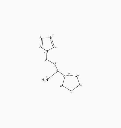 NC(CCn1ccnc1)C1CCCCC1